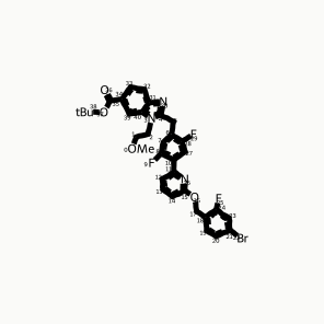 COCCn1c(Cc2cc(F)c(-c3cccc(OCc4ccc(Br)cc4F)n3)cc2F)nc2ccc(C(=O)OC(C)(C)C)cc21